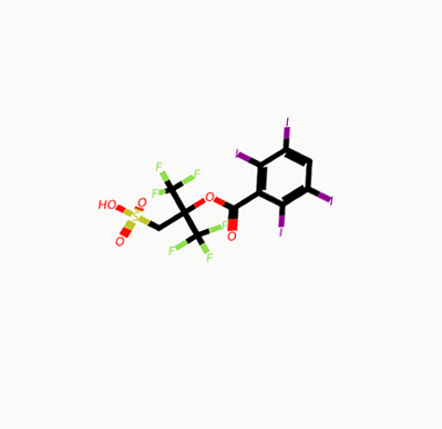 O=C(OC(CS(=O)(=O)O)(C(F)(F)F)C(F)(F)F)c1c(I)c(I)cc(I)c1I